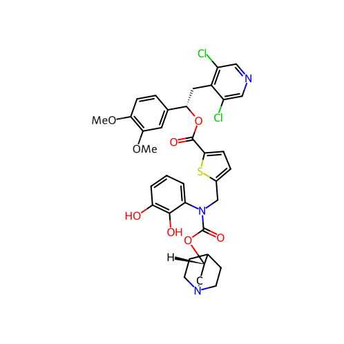 COc1ccc([C@H](Cc2c(Cl)cncc2Cl)OC(=O)c2ccc(CN(C(=O)O[C@H]3CN4CCC3CC4)c3cccc(O)c3O)s2)cc1OC